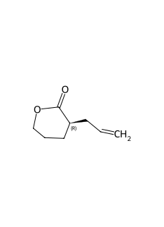 C=CC[C@H]1CCCOC1=O